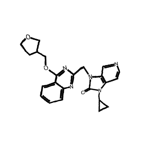 O=c1n(Cc2nc(OCC3CCOC3)c3ccccc3n2)c2cnccc2n1C1CC1